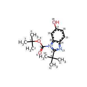 CC(C)(C)OC(=O)n1c(C(C)(C)C)nc2ccc(O)cc21